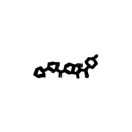 Cc1c(C(=O)N2CCN(C)CC2)[nH]c2ccc(Nc3nccc(-c4ccccn4)n3)cc12